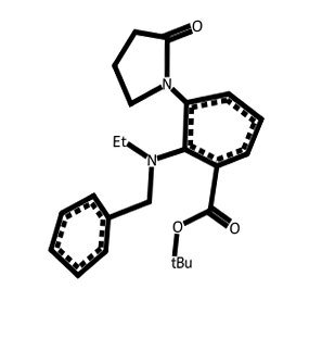 CCN(Cc1ccccc1)c1c(C(=O)OC(C)(C)C)cccc1N1CCCC1=O